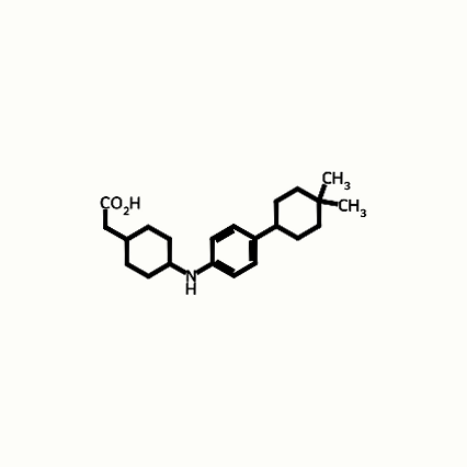 CC1(C)CCC(c2ccc(NC3CCC(CC(=O)O)CC3)cc2)CC1